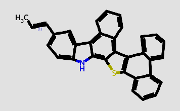 C/C=C/c1ccc2[nH]c3c4sc5c6ccccc6c6ccccc6c5c4c4ccccc4c3c2c1